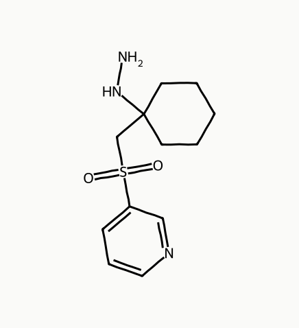 NNC1(CS(=O)(=O)c2cccnc2)CCCCC1